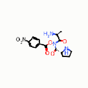 C[C@H](N)C(=O)N(OC(=O)c1ccc([N+](=O)[O-])cc1)C(=O)[C@H]1CCCN1